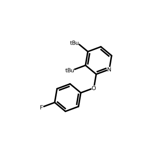 CC(C)(C)c1ccnc(Oc2ccc(F)cc2)c1C(C)(C)C